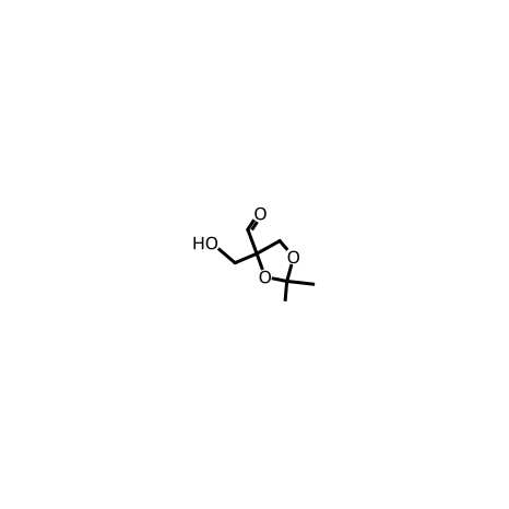 CC1(C)OCC(C=O)(CO)O1